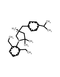 CCc1cccc(CC)c1N1C[C@](C)(Cc2ccc(C(C)C)cc2)CC1(C)C